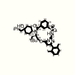 Cc1cccc(C)c1-c1cc2nc(n1)NS(=O)(=O)c1cccc(c1)C(=O)N([C@H]1CC[C@](O)(CC(C)C)CC1)[C@H](CC(C)(C)C)CO2